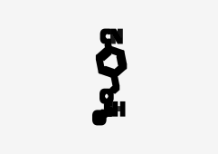 N#Cc1ccc(CO[SH]=O)cc1